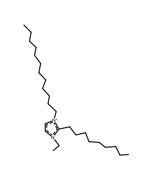 CCCCCCCCCCCC[n+]1ccn(CC)c1CCCCCCCCC